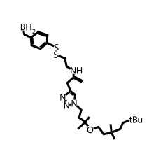 BCc1ccc(SSCCNC(=C)Cc2cn(CCC(C)(C)OCCC(C)(C)CCC(C)(C)C)nn2)cc1